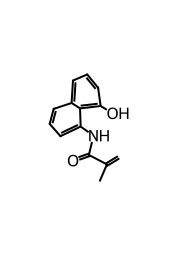 C=C(C)C(=O)Nc1cccc2cccc(O)c12